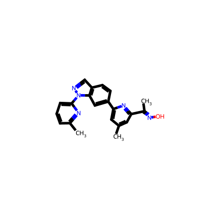 C/C(=N\O)c1cc(C)cc(-c2ccc3cnn(-c4cccc(C)n4)c3c2)n1